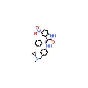 CN(Cc1ccc(N/C(=C2\C(=O)Nc3ccc([N+](=O)[O-])cc32)c2ccccc2)cc1)C1CC1